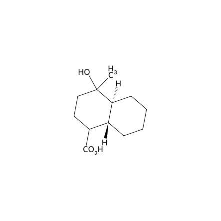 CC1(O)CCC(C(=O)O)[C@H]2CCCC[C@@H]21